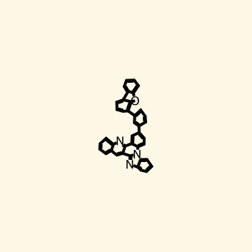 c1cc(-c2ccc3c(c2)c2nc4ccccc4cc2c2nc4ccccc4n32)cc(-c2cccc3c2oc2ccccc23)c1